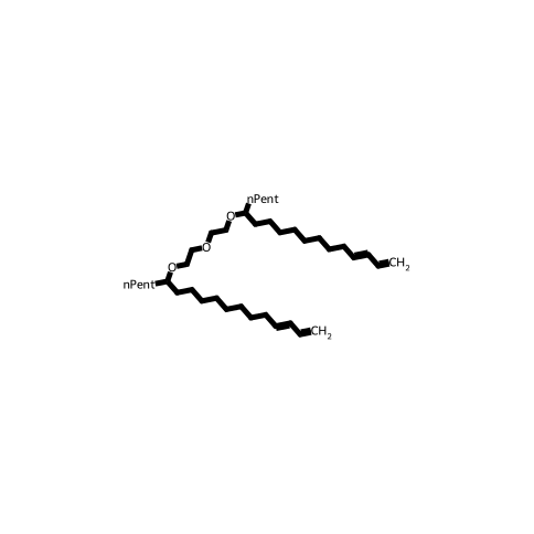 C=CC=CCCCCCCCCC(CCCCC)OCCOCCOC(CCCCC)CCCCCCCCC=CC=C